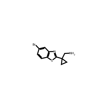 NCC1(c2nc3cc(Br)ccc3s2)CC1